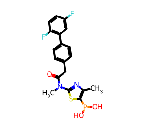 Cc1nc(N(C)C(=O)Cc2ccc(-c3cc(F)ccc3F)cc2)sc1P(O)O